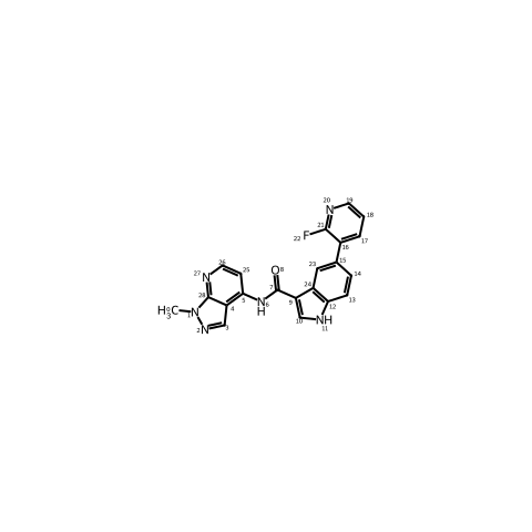 Cn1ncc2c(NC(=O)c3c[nH]c4ccc(-c5cccnc5F)cc34)ccnc21